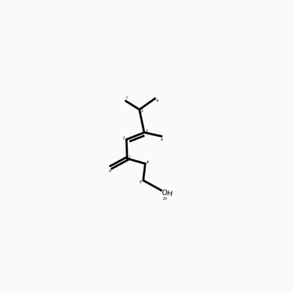 C=C(/C=C(\C)C(C)C)CCO